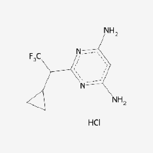 Cl.Nc1cc(N)nc(C(C2CC2)C(F)(F)F)n1